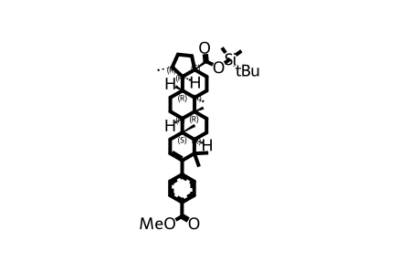 COC(=O)c1ccc(C2=CC[C@]3(C)[C@H]4CC[C@@H]5[C@H]6[C@H](C)CC[C@]6(C(=O)O[Si](C)(C)C(C)(C)C)CC[C@@]5(C)[C@]4(C)CC[C@H]3C2(C)C)cc1